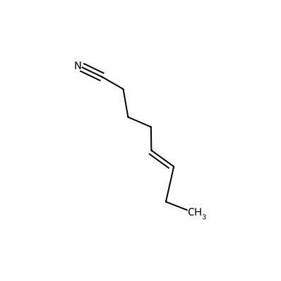 CCC=CCCCC#N